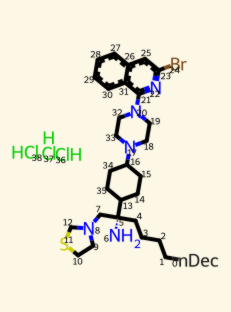 CCCCCCCCCCCCCC[C@@](N)(CN1CCSC1)C1CCC(N2CCN(c3nc(Br)cc4ccccc34)CC2)CC1.Cl.Cl.Cl